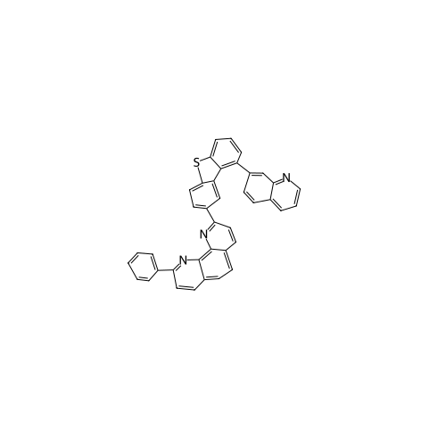 c1ccc(-c2ccc3ccc4ccc(-c5ccc6sc7cccc(-c8ccc9cccnc9c8)c7c6c5)nc4c3n2)cc1